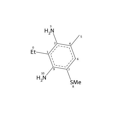 CCc1c(N)c(C)cc(SC)c1N